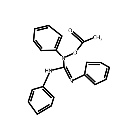 CC(=O)ON(C(=Nc1ccccc1)Nc1ccccc1)c1ccccc1